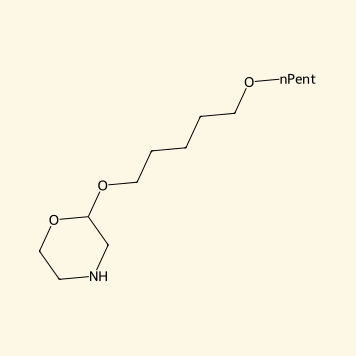 CCCCCOCCCCCOC1CNCCO1